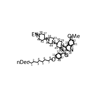 CCCCCCCCCCCCCCCCCCOc1ccc(S(=O)(=O)c2cnc3ccc(OC)cc3c2N2CCC(N3CCN(C4CCN(CC)CC4)CC3)CC2)cc1